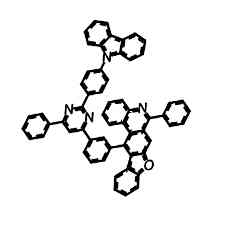 c1ccc(-c2cc(-c3cccc(-c4c5c(cc6c(-c7ccccc7)nc7ccccc7c46)oc4ccccc45)c3)nc(-c3ccc(-n4c5ccccc5c5ccccc54)cc3)n2)cc1